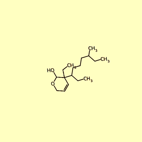 CCC(C)CCCC(CC)C1(CC)C=CCOC1O